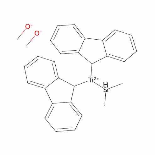 C[O-].C[O-].C[SiH](C)[Ti+2]([CH]1c2ccccc2-c2ccccc21)[CH]1c2ccccc2-c2ccccc21